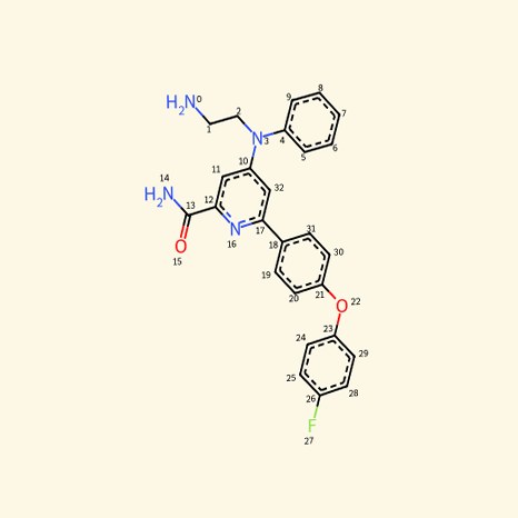 NCCN(c1ccccc1)c1cc(C(N)=O)nc(-c2ccc(Oc3ccc(F)cc3)cc2)c1